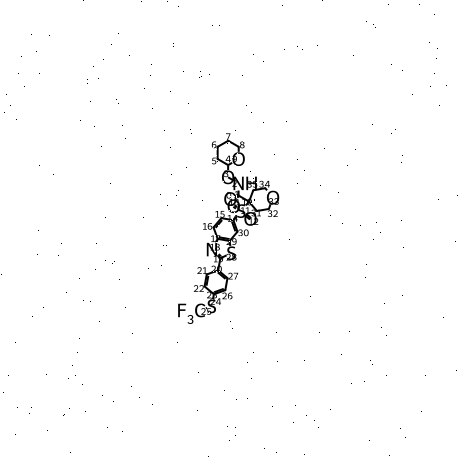 O=C(NOC1CCCCO1)C1(S(=O)(=O)c2ccc3nc(-c4ccc(SC(F)(F)F)cc4)sc3c2)CCOCC1